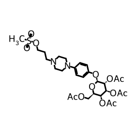 CC(=O)OC[C@H]1O[C@@H](Oc2ccc(N3CCN(CCCOS(C)(=O)=O)CC3)cc2)[C@H](OC(C)=O)[C@@H](OC(C)=O)[C@H]1OC(C)=O